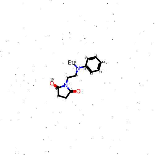 CCN(CCN1C(=O)CCC1=O)c1ccccc1